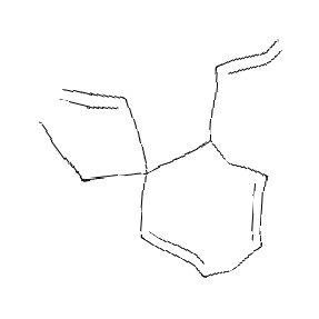 C=CC1C=CC=CC1(C=C)CC